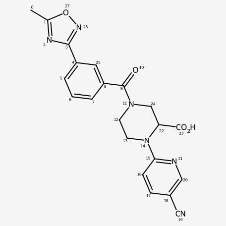 Cc1nc(-c2cccc(C(=O)N3CCN(c4ccc(C#N)cn4)C(C(=O)O)C3)c2)no1